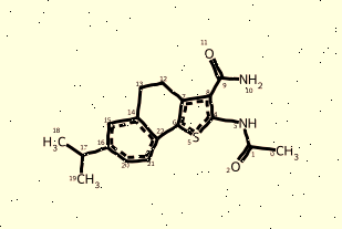 CC(=O)Nc1sc2c(c1C(N)=O)CCc1cc(C(C)C)ccc1-2